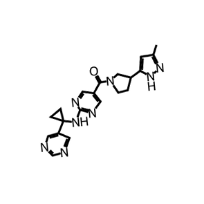 Cc1cc(C2CCN(C(=O)c3cnc(NC4(c5cncnc5)CC4)nc3)C2)[nH]n1